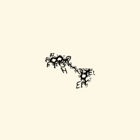 CCC(C)(C)c1ccc(OCCCCNC(=O)c2ccc3c(F)c(F)c(F)c(F)c3c2O)c(C(C)(C)CC)c1